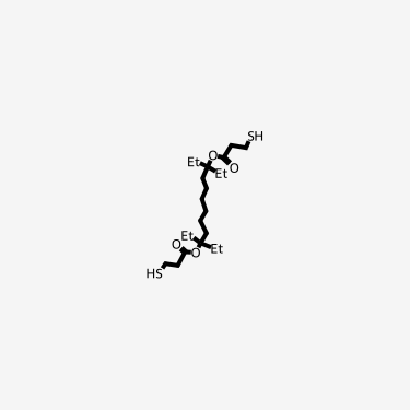 CCC(CC)(CCCCCCC(CC)(CC)OC(=O)CCS)OC(=O)CCS